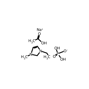 CC(=O)O.CCN1C=CN(C)C1.O=P([O-])(O)O.[Na+]